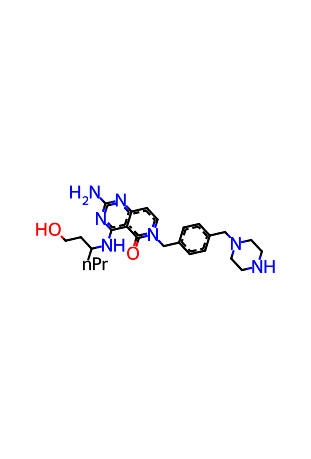 CCCC(CCO)Nc1nc(N)nc2ccn(Cc3ccc(CN4CCNCC4)cc3)c(=O)c12